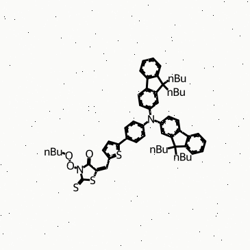 CCCCOON1C(=O)/C(=C\c2ccc(-c3ccc(N(c4ccc5c(c4)C(CCCC)(CCCC)c4ccccc4-5)c4ccc5c(c4)C(CCCC)(CCCC)c4ccccc4-5)cc3)s2)SC1=S